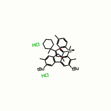 Cl.Cl.[CH2]=[Zr]([CH3])([C]1=CC(C2(C)CCCCC2)=CC1C)([c]1ccc(C)cc1)[c]1c(C)c(C(C)(C)C)cc2c1Cc1cc(C)c(C(C)(C)C)cc1-2